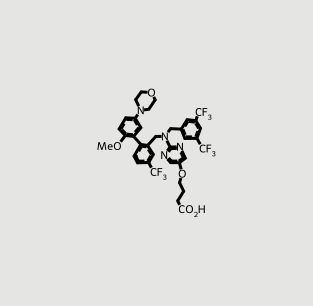 COc1ccc(N2CCOCC2)cc1-c1ccc(C(F)(F)F)cc1CN(Cc1cc(C(F)(F)F)cc(C(F)(F)F)c1)c1ncc(OCCCC(=O)O)cn1